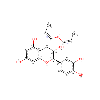 C/C=C\O/C=C\C.Oc1cc(O)c2c(c1)O[C@H](c1ccc(O)c(O)c1)[C@@H](O)C2